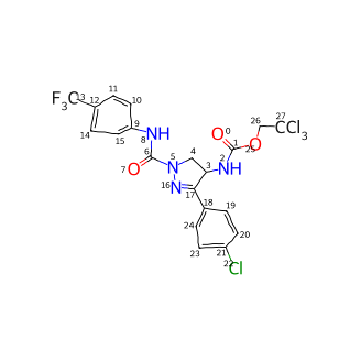 O=C(NC1CN(C(=O)Nc2ccc(C(F)(F)F)cc2)N=C1c1ccc(Cl)cc1)OCC(Cl)(Cl)Cl